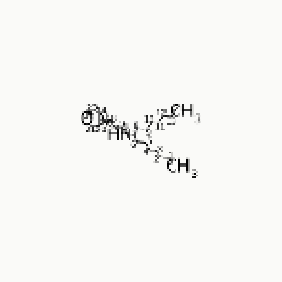 CCCCCCCC(CCCCCCC)NCCCN1CCOCC1